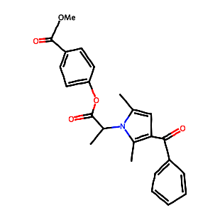 COC(=O)c1ccc(OC(=O)C(C)n2c(C)cc(C(=O)c3ccccc3)c2C)cc1